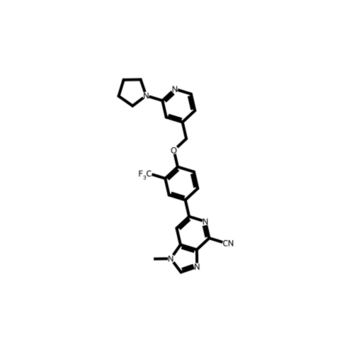 Cn1cnc2c(C#N)nc(-c3ccc(OCc4ccnc(N5CCCC5)c4)c(C(F)(F)F)c3)cc21